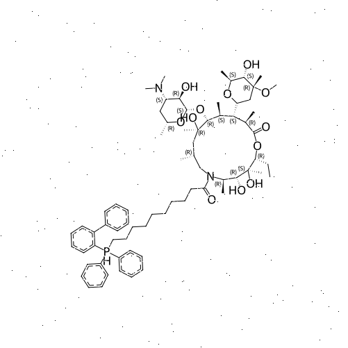 CC[C@H]1OC(=O)[C@H](C)[C@@H](C2C[C@@](C)(OC)[C@@H](O)[C@H](C)O2)[C@H](C)[C@@H](O[C@@H]2O[C@H](C)C[C@H](N(C)C)[C@H]2O)[C@](C)(O)C[C@@H](C)CN(C(=O)CCCCCCCCC[PH](c2ccccc2)(c2ccccc2)c2ccccc2-c2ccccc2)[C@H](C)[C@@H](O)[C@]1(C)O